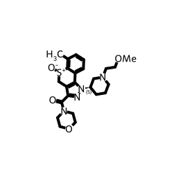 COCCN1CCC[C@H](n2nc(C(=O)N3CCOCC3)c3c2-c2cccc(C)c2[S+]([O-])C3)C1